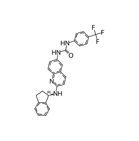 O=C(Nc1ccc(C(F)(F)F)cc1)Nc1ccc2nc(N[C@@H]3CCc4ccccc43)ccc2c1